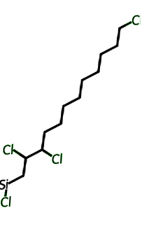 ClCCCCCCCCCC(Cl)C(Cl)C[SiH2]Cl